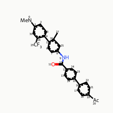 CNc1ccc(-c2ccc(NC(=O)c3ccc(-c4ccc(C(C)=O)cc4)cc3)cc2C)c(C(F)(F)F)c1